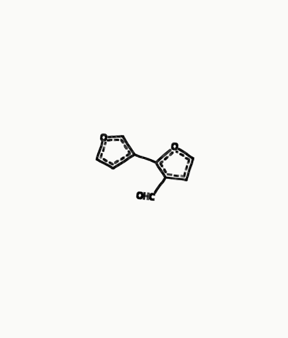 O=Cc1ccoc1-c1ccoc1